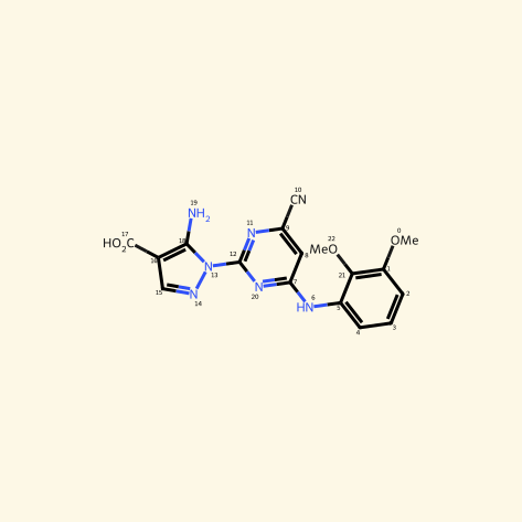 COc1cccc(Nc2cc(C#N)nc(-n3ncc(C(=O)O)c3N)n2)c1OC